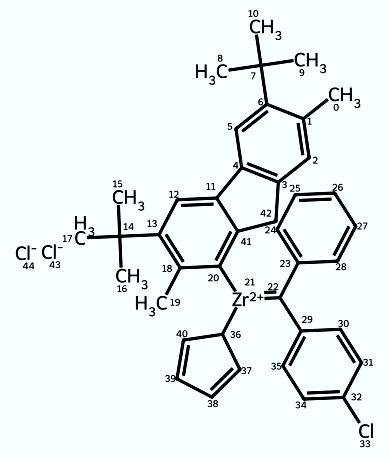 Cc1cc2c(cc1C(C)(C)C)-c1cc(C(C)(C)C)c(C)[c]([Zr+2](=[C](c3ccccc3)c3ccc(Cl)cc3)[CH]3C=CC=C3)c1C2.[Cl-].[Cl-]